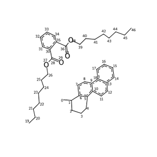 CC1CCCc2c1ccc1c2ccc2ccccc21.CCCCCCCCOC(=O)c1ccccc1C(=O)OCCCCCCCC